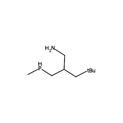 CPCC(CN)CC(C)(C)C